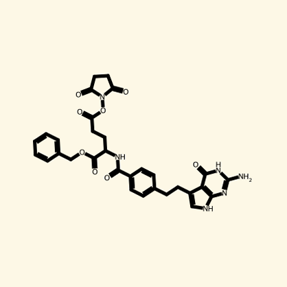 Nc1nc2[nH]cc(CCc3ccc(C(=O)NC(CCC(=O)ON4C(=O)CCC4=O)C(=O)OCc4ccccc4)cc3)c2c(=O)[nH]1